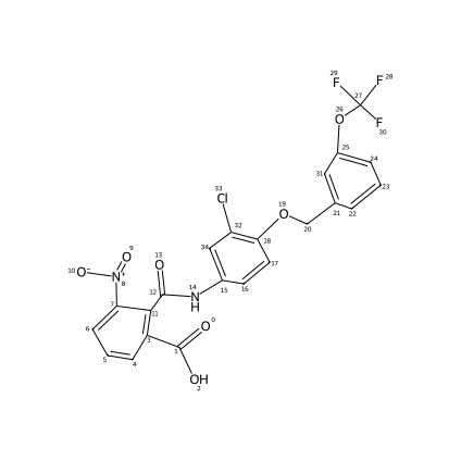 O=C(O)c1cccc([N+](=O)[O-])c1C(=O)Nc1ccc(OCc2cccc(OC(F)(F)F)c2)c(Cl)c1